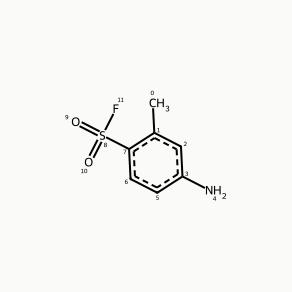 Cc1cc(N)ccc1S(=O)(=O)F